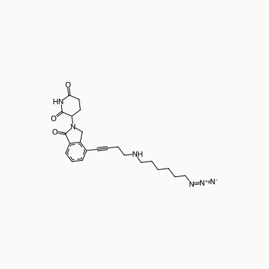 [N-]=[N+]=NCCCCCCNCCC#Cc1cccc2c1CN(C1CCC(=O)NC1=O)C2=O